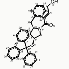 O=C(C=CCO)N1C[C@@H](SC(c2ccccc2)(c2ccccc2)c2ccccc2)C[C@H]1Cc1ncccn1